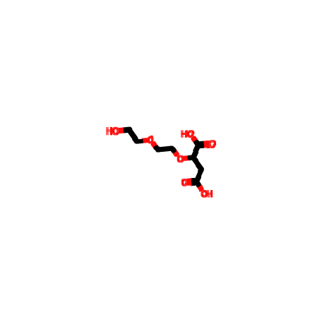 O=C(O)CC(OCCOCCO)C(=O)O